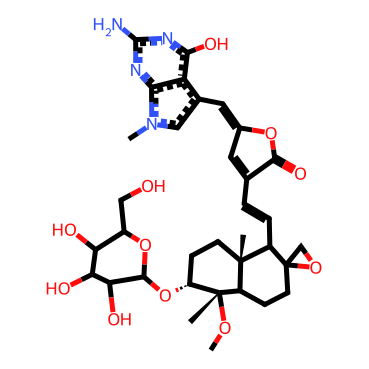 CO[C@@]1(C)C2CCC3(CO3)C(/C=C/C3=CC(=C\c4cn(C)c5nc(N)nc(O)c45)/OC3=O)[C@@]2(C)CC[C@H]1OC1OC(CO)C(O)C(O)C1O